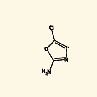 Nc1n[c]c(Cl)o1